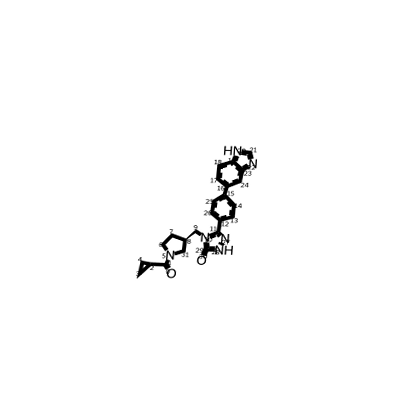 O=C(C1CC1)N1CC[C@@H](Cn2c(-c3ccc(-c4ccc5[nH]cnc5c4)cc3)n[nH]c2=O)C1